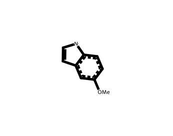 COc1ccc2c(c1)C=C[N]2